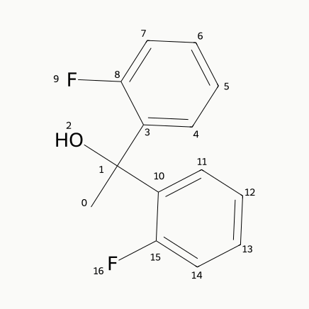 CC(O)(c1ccccc1F)c1ccccc1F